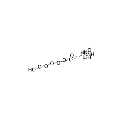 O=C1N[C@H]2[C@H](CS[C@H]2CCCCC(=O)OCCOCCOCCOCCOCCOCCO)N1